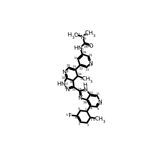 CC1CC=C(F)CC1c1cncc2[nH]c(C3=NNC4=NC=C(c5cncc(NC(=O)N(C)C)c5)C(C)C43)nc12